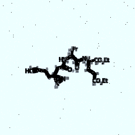 C#CCCC1(CC(=O)N[C@H](C(=O)N[C@H](CCC(=O)OCC)C(=O)OCC)C(C)C)N=N1